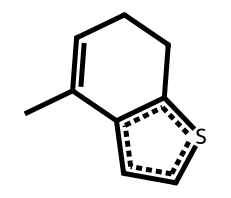 CC1=CCCc2sccc21